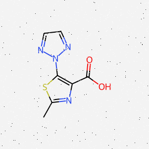 Cc1nc(C(=O)O)c(-n2nccn2)s1